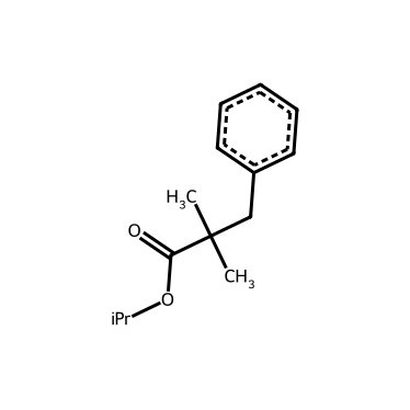 CC(C)OC(=O)C(C)(C)Cc1ccccc1